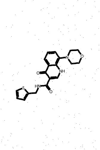 O=C(NCc1cccs1)c1c[nH]c2c(N3CCOCC3)cccc2c1=O